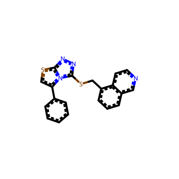 c1ccc(-c2csc3nnc(SCc4cccc5cnccc45)n23)cc1